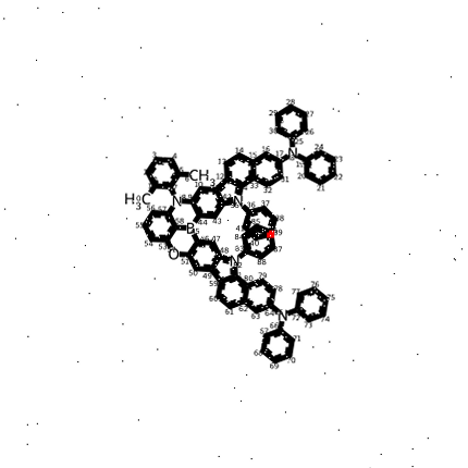 Cc1cccc(C)c1N1c2cc3c4ccc5cc(N(c6ccccc6)c6ccccc6)ccc5c4n(-c4ccccc4)c3cc2B2c3cc4c(cc3Oc3cccc1c32)c1ccc2cc(N(c3ccccc3)c3ccccc3)ccc2c1n4-c1ccccc1